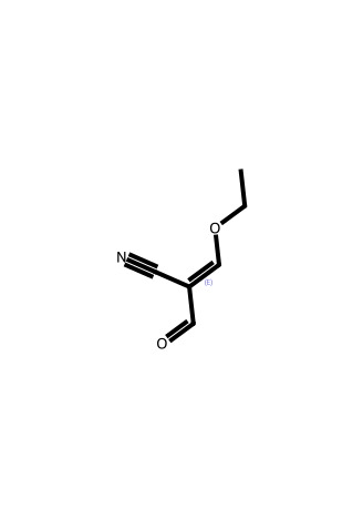 CCO/C=C(\C#N)C=O